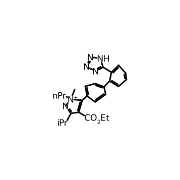 CCC[N+]1(C)N=C(C(C)C)C(C(=O)OCC)=C1c1ccc(-c2ccccc2-c2nnn[nH]2)cc1